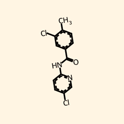 Cc1ccc(C(=O)Nc2ccc(Cl)cn2)cc1Cl